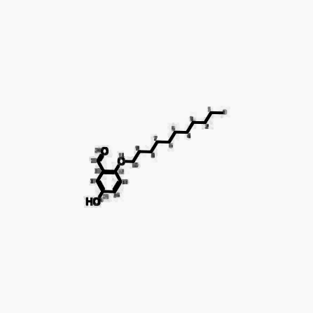 CCCCCCCCCCCOc1ccc(O)cc1C=O